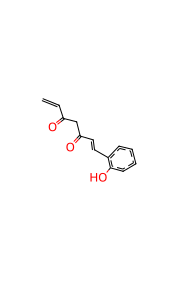 C=CC(=O)CC(=O)C=Cc1ccccc1O